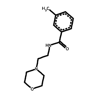 Cc1cccc(C(=O)NCCN2CCOCC2)c1